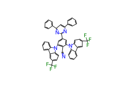 N#Cc1c(-n2c3ccccc3c3cc(C(F)(F)F)ccc32)cc(-c2nc(-c3ccccc3)cc(-c3ccccc3)n2)cc1-n1c2ccccc2c2cc(C(F)(F)F)ccc21